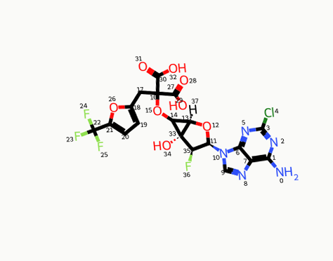 Nc1nc(Cl)nc2c1ncn2[C@@H]1O[C@@H]2C(OC(Cc3ccc(C(F)(F)F)o3)(C(=O)O)C(=O)O)[C@]2(O)[C@@H]1F